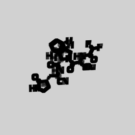 CC(C)(C)[C@H](NC(=O)C(F)F)C(=O)N1C[C@H]2[C@@H]([C@H]1C(=O)N[C@H](C#N)C[C@@H]1CCNC1=O)[C@H]1C=C[C@@H]2C1